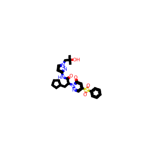 CC(C)(O)Cn1ccc(NC(=O)C(CC2CCCC2)n2ncc(S(=O)(=O)c3ccccc3)cc2=O)n1